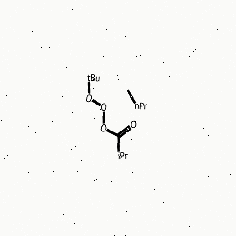 CC(C)C(=O)OOOC(C)(C)C.CCCC